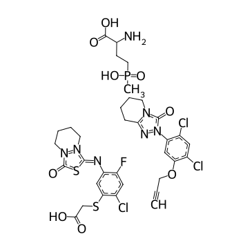 C#CCOc1cc(-n2nc3n(c2=O)CCCC3)c(Cl)cc1Cl.CP(=O)(O)CCC(N)C(=O)O.O=C(O)CSc1cc(N=c2sc(=O)n3n2CCCC3)c(F)cc1Cl